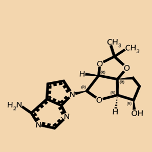 CC1(C)O[C@H]2[C@H](n3ccc4c(N)ncnc43)O[C@@H]3[C@H](O)CC[C@@]32O1